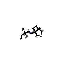 CCC(F)(F)/C=C/C12CCC1COC2